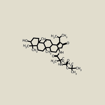 CC(C)C1=C2C3CCC4C(C)(CCC5C(C)(C)C(O)CCC54C)C3CCC2(NC(=O)C(C)(C)NC(=O)OC(C)(C)C)CC1=O